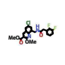 COC(=O)c1cc2cc(Cl)cc(CNC(=O)Cc3cccc(F)c3F)c2nc1OC